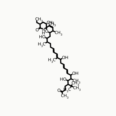 CCC1CC(C)C2(NC1=O)OC(CC(O)C(C)CC/C=C/C=C(\C)C(O)C/C=C/C=C/C(O)C(C)C(O)C(CCC(C)=O)C(C)(C)C)C(C)C=C2C